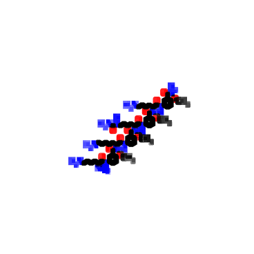 COc1ccc(NC(=O)[C@H](CCCCN)NC(=O)c2cc(NC(=O)[C@H](CCCCNC(N)=O)NC(=O)c3cc(NC(=O)[C@H](CCCCCN)NC(=O)c4cc(NC(=O)[C@@H](N)CCCCN)ccc4OC)ccc3OC)ccc2OC)cc1C(N)=O